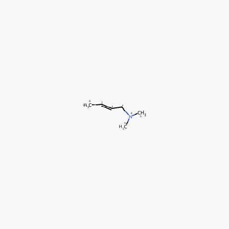 [CH2]C=CCN(C)C